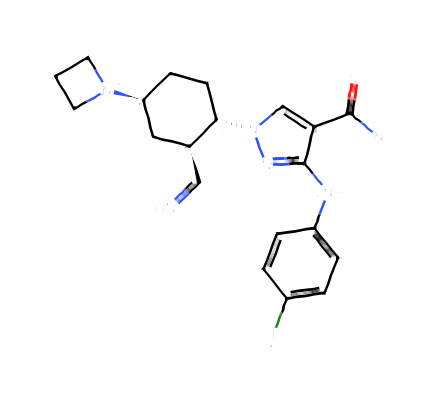 N=C[C@H]1C[C@@H](N2CCC2)CC[C@@H]1n1cc(C(N)=O)c(Nc2ccc(Cl)cc2)n1